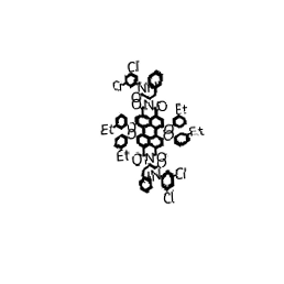 CCc1cccc(Oc2cc3c4c(cc(Oc5cccc(CC)c5)c5c6c(Oc7cccc(CC)c7)cc7c8c(cc(Oc9cccc(CC)c9)c(c2c45)c86)C(=O)N(C(Cc2ccccc2)C(=O)Nc2cc(Cl)cc(Cl)c2)C7=O)C(=O)N(C(Cc2ccccc2)C(=O)Nc2cc(Cl)cc(Cl)c2)C3=O)c1